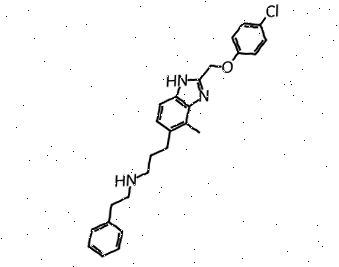 Cc1c(CCCNCCc2ccccc2)ccc2[nH]c(COc3ccc(Cl)cc3)nc12